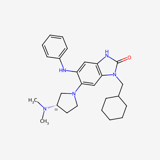 CN(C)[C@H]1CCN(c2cc3c(cc2Nc2ccccc2)[nH]c(=O)n3CC2CCCCC2)C1